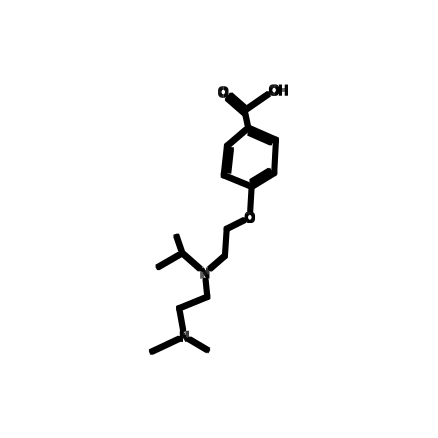 CC(C)N(CCOc1ccc(C(=O)O)cc1)CCN(C)C